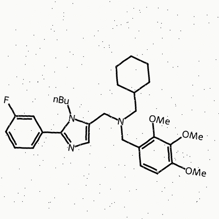 CCCCn1c(CN(Cc2ccc(OC)c(OC)c2OC)CC2CCCCC2)cnc1-c1cccc(F)c1